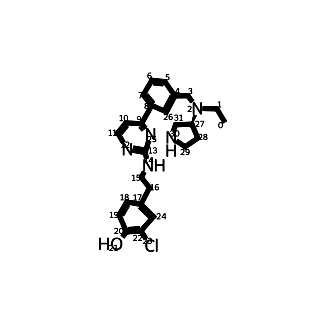 CCN(Cc1cccc(-c2ccnc(NCCc3ccc(O)c(Cl)c3)n2)c1)[C@H]1CCNC1